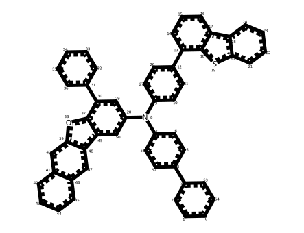 c1ccc(-c2ccc(N(c3ccc(-c4cccc5c4sc4ccccc45)cc3)c3cc(-c4ccccc4)c4oc5cc6ccccc6cc5c4c3)cc2)cc1